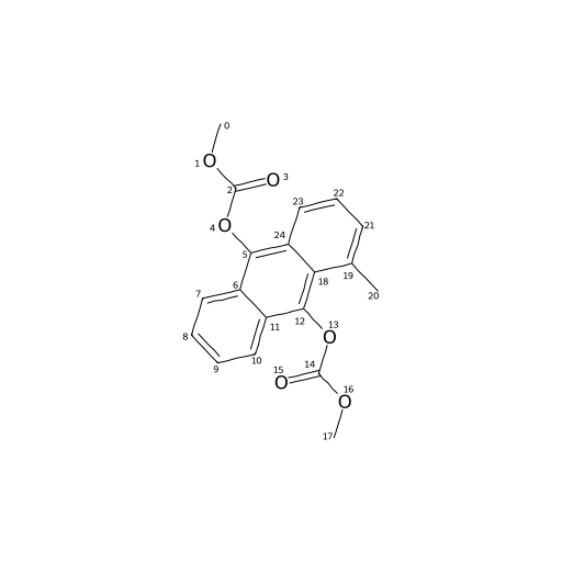 COC(=O)Oc1c2ccccc2c(OC(=O)OC)c2c(C)cccc12